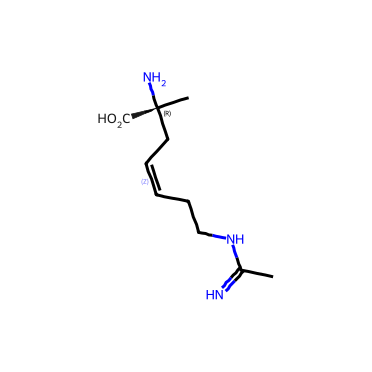 CC(=N)NCC/C=C\C[C@@](C)(N)C(=O)O